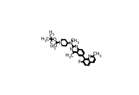 Cc1ccc2ccc(F)c(-c3ccc4nc(N(C)C5CCN(C(=O)OC(C)(C)C)CC5)nc(C)c4c3)c2n1